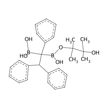 CC(C)(O)C(C)(C)OB(O)C(B(O)O)(c1ccccc1)C(c1ccccc1)c1ccccc1